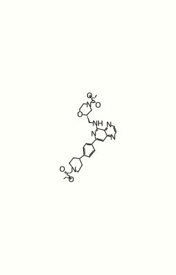 CS(=O)(=O)N1CCC(c2ccc(-c3cc4nccnc4c(NC[C@@H]4CN(S(C)(=O)=O)CCO4)n3)cc2)CC1